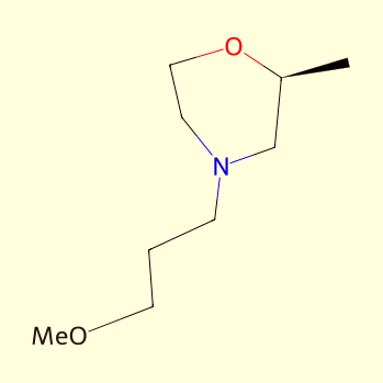 COCCCN1CCO[C@@H](C)C1